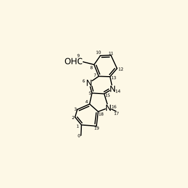 Cc1ccc2c3nc4c(C=O)cccc4nc3n(C)c2c1